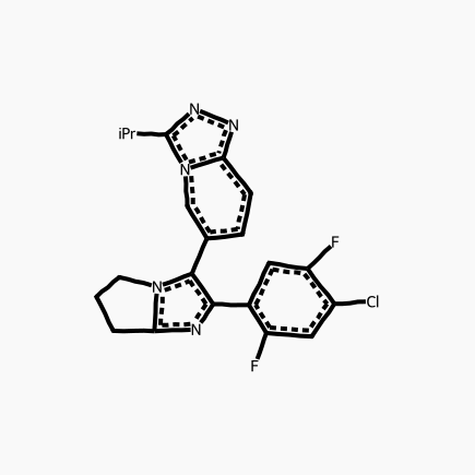 CC(C)c1nnc2ccc(-c3c(-c4cc(F)c(Cl)cc4F)nc4n3CCC4)cn12